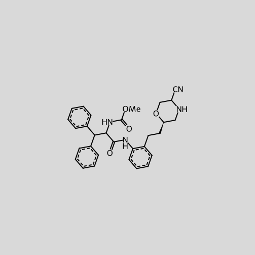 COC(=O)NC(C(=O)Nc1ccccc1CC[C@@H]1CNC(C#N)CO1)C(c1ccccc1)c1ccccc1